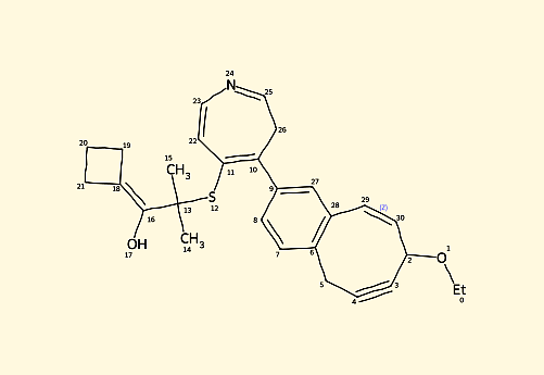 CCOC1C#CCc2ccc(C3=C(SC(C)(C)C(O)=C4CCC4)C=CN=CC3)cc2/C=C\1